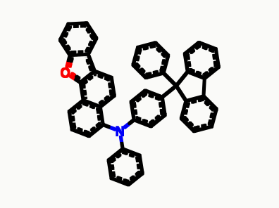 c1ccc(N(c2ccc(C3(c4ccccc4)c4ccccc4-c4ccccc43)cc2)c2cccc3c2ccc2c4ccccc4oc32)cc1